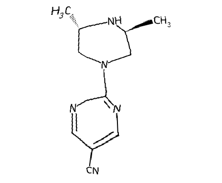 C[C@H]1CN(c2ncc(C#N)cn2)C[C@H](C)N1